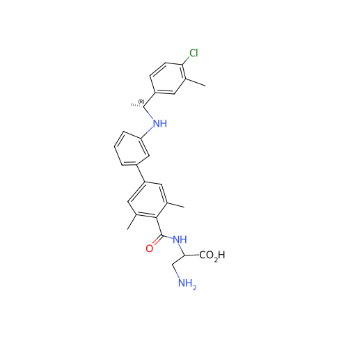 Cc1cc([C@@H](C)Nc2cccc(-c3cc(C)c(C(=O)NC(CN)C(=O)O)c(C)c3)c2)ccc1Cl